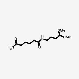 COC(CCCNC(=O)CCCCC(N)=O)OC